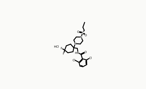 CCCS(=O)(=O)N1CCN(C2(CNC(=O)c3c(Cl)cccc3Cl)CCC(F)(F)CC2)CC1.Cl